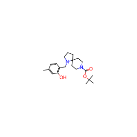 Cc1ccc(CN2CCCC23CCN(C(=O)OC(C)(C)C)CC3)c(O)c1